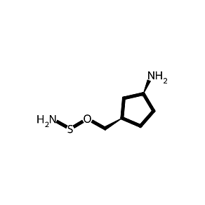 NSOC[C@@H]1CC[C@H](N)C1